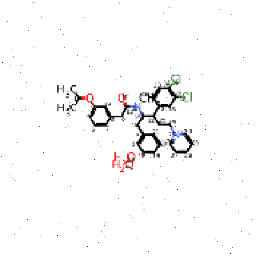 CC(C)Oc1cccc(CC(=O)N(C)C(Cc2ccccc2)C(CC[n+]2ccccc2)c2ccc(Cl)c(Cl)c2)c1.O.O